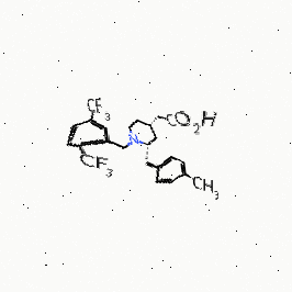 Cc1ccc(C[C@H]2C[C@@H](CC(=O)O)CCN2Cc2cc(C(F)(F)F)ccc2C(F)(F)F)cc1